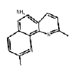 Cc1ccc2ccc3ccc(C)nc3c2n1.N